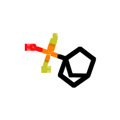 OP(=S)(S)C12CCC(CC1)C2